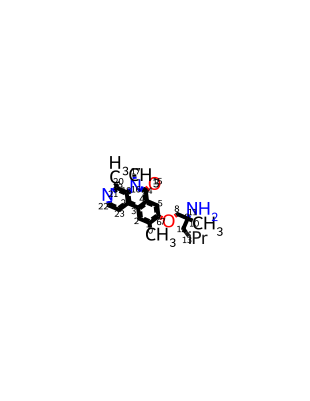 Cc1cc2c(cc1OCC(C)(N)CC(C)C)c(=O)n(C)c1c(C)nccc21